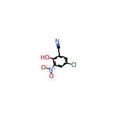 N#Cc1cc(Cl)cc([N+](=O)[O-])c1O